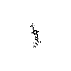 CCN(C)/C=N/c1cc(C)c(Cc2nc(NC(=O)OC(C)C)cs2)cc1C